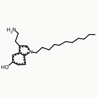 CCCCCCCCCCCn1cc(CCN)c2cc(O)ccc21